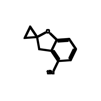 CC(C)(C)c1cccc2c1CC1(CC1)O2